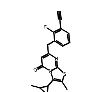 C#Cc1cccc(Cc2cc(=O)n3c(C4CC4C)c(C)sc3n2)c1F